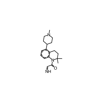 CN1CCC(c2cccc3c2CCC(C)(C)N3C(=O)C=N)CC1